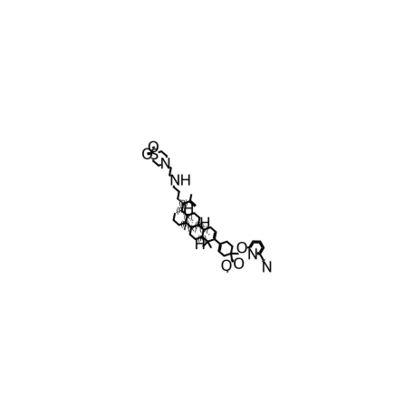 C=C(C)[C@H](CCCNCCN1CCS(=O)(=O)CC1)[C@H]1CCC[C@]2(C)[C@@H]1CC[C@@H]1[C@@]3(C)CC=C(C4=CCC(COc5cccc(C#N)n5)(C(=O)OC)CC4)C(C)(C)[C@@H]3CC[C@]12C